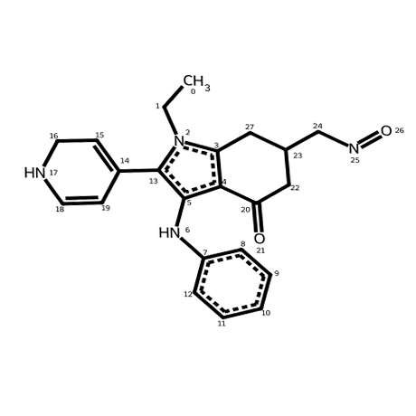 CCn1c2c(c(Nc3ccccc3)c1C1=CCNC=C1)C(=O)CC(CN=O)C2